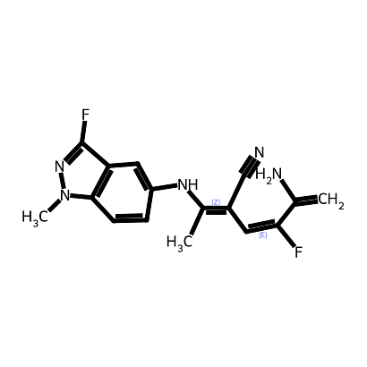 C=C(N)/C(F)=C\C(C#N)=C(/C)Nc1ccc2c(c1)c(F)nn2C